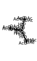 CC(=O)N[C@H]1C(OC(C)=O)[C@H](OC(C)=O)C(COC(C)=O)O[C@H]1OCCCCC(=O)NCCCNC(=O)CCOCC(C)(COCCC(=O)NCCCNC(=O)CCCCO[C@@H]1OC(COC(C)=O)[C@@H](OC(C)=O)C(OC(C)=O)[C@@H]1NC(C)=O)COCCC(=O)NCCCNC(=O)CCCCO[C@@H]1OC(COC(C)=O)[C@@H](OC(C)=O)C(OC(C)=O)[C@@H]1NC(C)=O